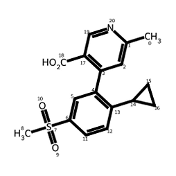 Cc1cc(-c2cc(S(C)(=O)=O)ccc2C2CC2)c(C(=O)O)cn1